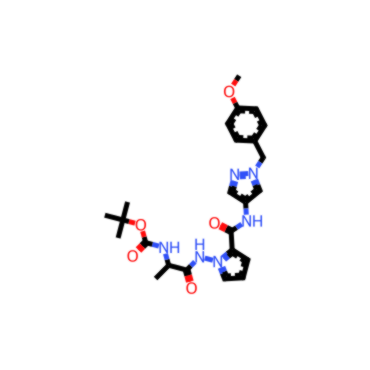 COc1ccc(Cn2cc(NC(=O)c3cccn3NC(=O)C(C)NC(=O)OC(C)(C)C)cn2)cc1